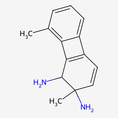 Cc1cccc2c1C1=C2C=CC(C)(N)C1N